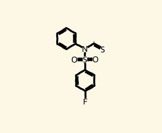 O=S(=O)(c1ccc(F)cc1)N([C]=S)c1ccccc1